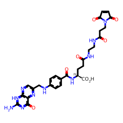 Nc1nc(=O)c2nc(CNc3ccc(C(=O)N[C@@H](CCC(=O)NCCNC(=O)CCN4C(=O)C=CC4=O)C(=O)O)cc3)cnc2[nH]1